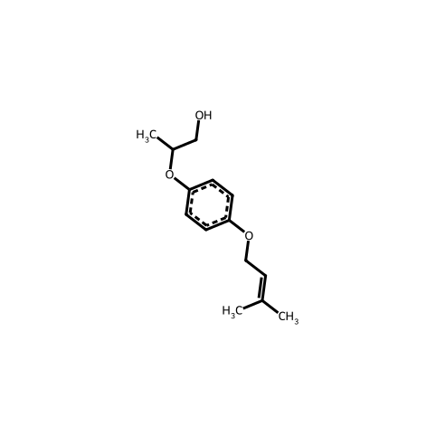 CC(C)=CCOc1ccc(OC(C)CO)cc1